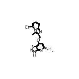 CCc1cccc2nc(COc3cc(N)nc4[nH]nnc34)c(C)n12